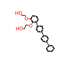 OCCOc1cccc(-c2ccc(-c3ccc(-c4ccccc4)cc3)cc2)c1OCCO